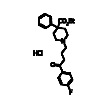 CCOC(=O)C1(c2ccccc2)CCN(CCCC(=O)c2ccc(F)cc2)CC1.Cl